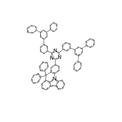 c1ccc(-c2cc(-c3ccccc3)cc(-c3cccc(-c4nc(-c5cccc(-c6cc(-c7ccccc7)cc(-c7ccccc7)c6)c5)nc(-c5ccc6c(c5)C(c5ccccc5)(c5ccccc5)c5cccc7c8ccccc8n-6c57)n4)c3)c2)cc1